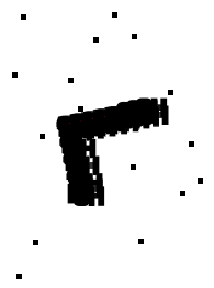 OB(O)F.OB(O)F.OB(O)F.OB(O)F.c1ccc2[nH]ccc2c1.c1ccc2[nH]ccc2c1.c1ccc2[nH]ccc2c1.c1ccc2[nH]ccc2c1.c1ccc2[nH]ccc2c1.c1ccc2[nH]ccc2c1.c1ccc2[nH]ccc2c1.c1ccc2[nH]ccc2c1